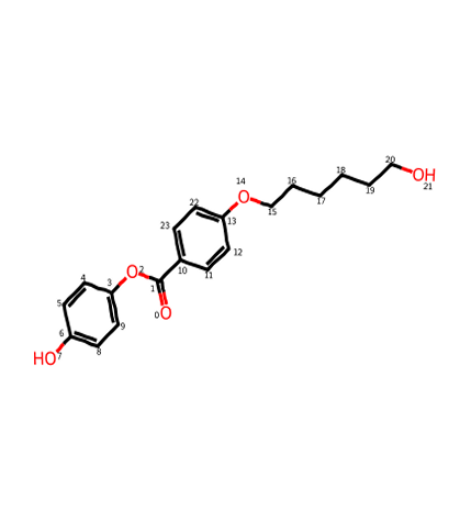 O=C(Oc1ccc(O)cc1)c1ccc(OCCCCCCO)cc1